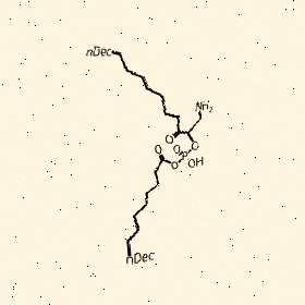 CCCCCCCCCCCCCCCCCC(=O)OP(=O)(O)OC(CN)C(=O)CCCCCCCCCCCCCCCCC